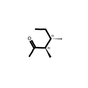 CC[C@H](C)[C@@H](C)C(C)=O